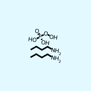 CCCCN.CCCCN.O=P(O)(O)OO